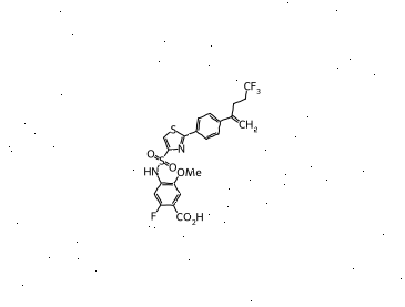 C=C(CCC(F)(F)F)c1ccc(-c2nc(S(=O)(=O)Nc3cc(F)c(C(=O)O)cc3OC)cs2)cc1